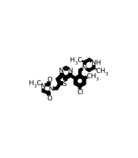 Cc1cc(Cl)cc(-c2ncnc3cc(CN4C(=O)CN(C)C4=O)sc23)c1CN1C[C@@H](C)NC[C@@H]1C